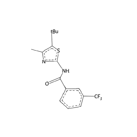 Cc1nc(NC(=O)c2cccc(C(F)(F)F)c2)sc1C(C)(C)C